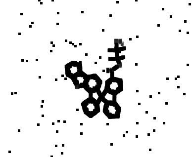 CC(C)(P)C(C)(C)OBc1ccc2c(c1)C1(c3ccccc3-2)c2ccccc2-c2c1ccc1c2oc2ccccc21